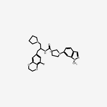 Cn1ncc2ccc(N3CC[C@@H](C(=O)NC(Cc4cc(F)c5c(c4)OCCO5)CN4CCCC4)C3)cc21